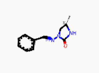 C[C@H]1CN(/N=C/c2ccccc2)C(=O)N1